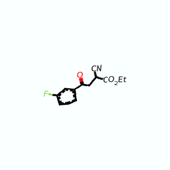 CCOC(=O)C(C#N)CC(=O)c1cccc(F)c1